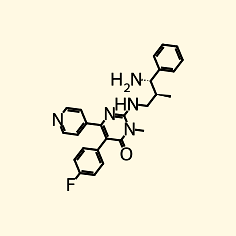 C[C@@H](CNc1nc(-c2ccncc2)c(-c2ccc(F)cc2)c(=O)n1C)[C@H](N)c1ccccc1